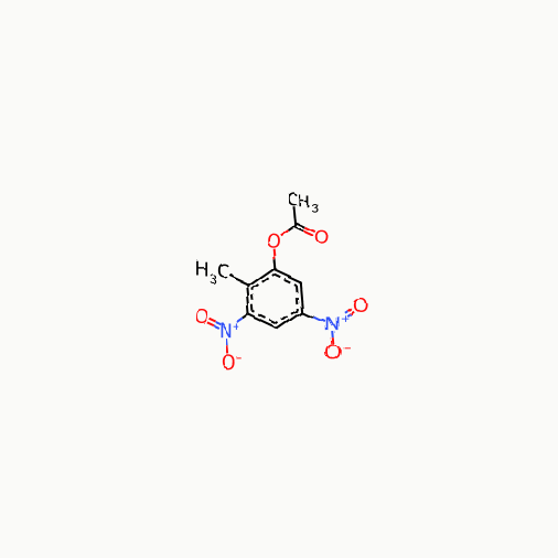 CC(=O)Oc1cc([N+](=O)[O-])cc([N+](=O)[O-])c1C